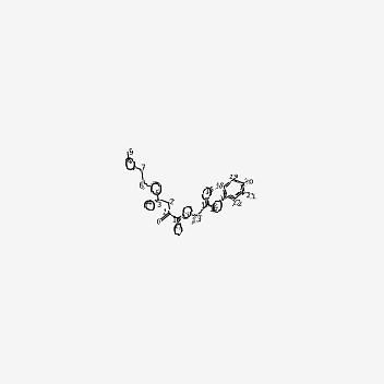 C=C(CC(=O)OCCOC)C(=O)OCC(=O)Oc1ccccc1